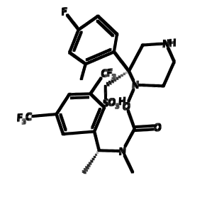 Cc1cc(F)ccc1[C@@]1(CS(=O)(=O)O)CNCCN1OC(=O)N(C)[C@H](C)c1cc(C(F)(F)F)cc(C(F)(F)F)c1